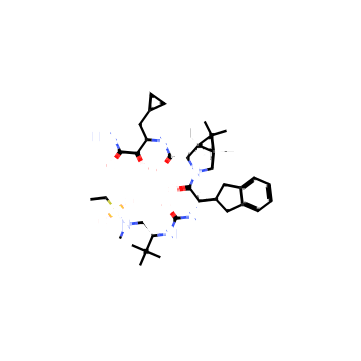 CCS(=O)(=O)N(C)C[C@@H](NC(=O)N[C@H](C(=O)N1C[C@H]2[C@@H]([C@H]1C(=O)NC(CC1CC1)C(=O)C(N)=O)C2(C)C)C1Cc2ccccc2C1)C(C)(C)C